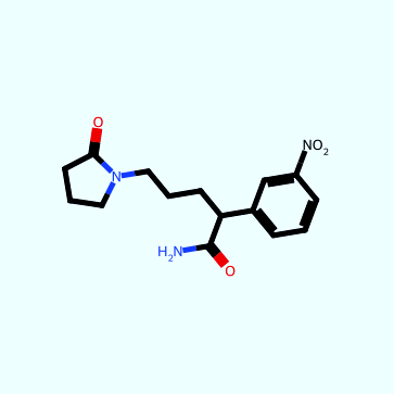 NC(=O)C(CCCN1CCCC1=O)c1cccc([N+](=O)[O-])c1